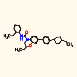 CCc1ccccc1NC(=O)N1CC(CC)Oc2cc(-c3ccc(C4CCC(CC)CC4)cc3)ccc21